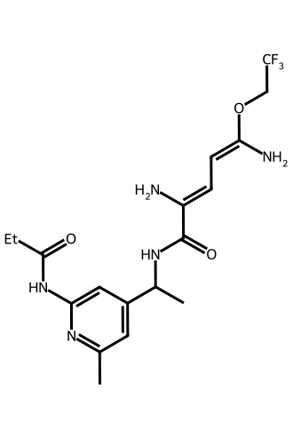 CCC(=O)Nc1cc(C(C)NC(=O)/C(N)=C/C=C(\N)OCC(F)(F)F)cc(C)n1